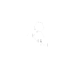 CB(O)N1CCCCC1CCO